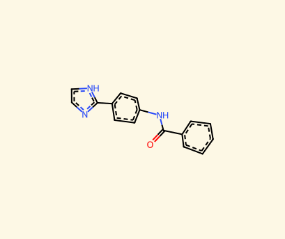 O=C(Nc1ccc(-c2ncc[nH]2)cc1)c1ccccc1